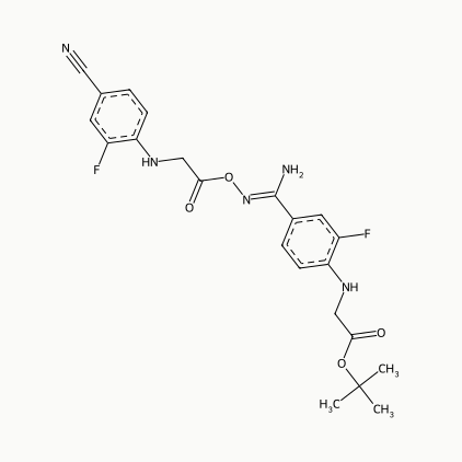 CC(C)(C)OC(=O)CNc1ccc(C(N)=NOC(=O)CNc2ccc(C#N)cc2F)cc1F